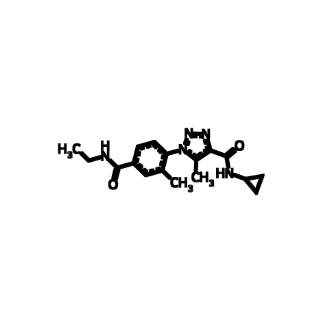 CCNC(=O)c1ccc(-n2nnc(C(=O)NC3CC3)c2C)c(C)c1